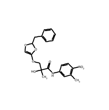 Cc1cc(NC(=O)C(C)(O)COC2=COC(Cc3ccccc3)O2)ccc1[N+](=O)[O-]